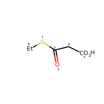 CCSC(=O)CC(=O)O